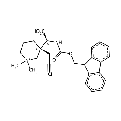 C#CC[C@]1([C@H](NC(=O)OCC2c3ccccc3-c3ccccc32)C(=O)O)CCC[N+](C)(C)C1